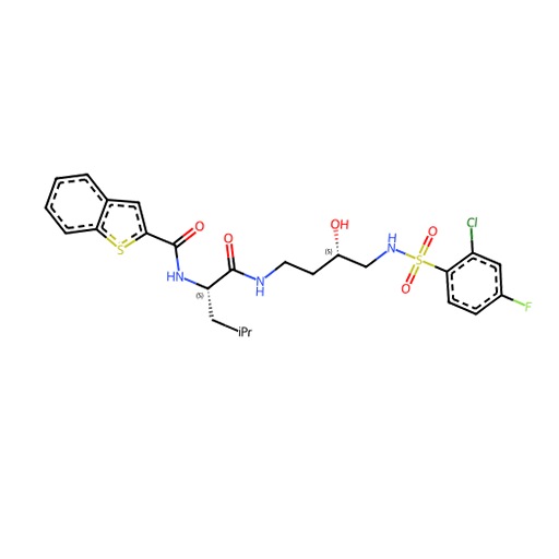 CC(C)C[C@H](NC(=O)c1cc2ccccc2s1)C(=O)NCC[C@H](O)CNS(=O)(=O)c1ccc(F)cc1Cl